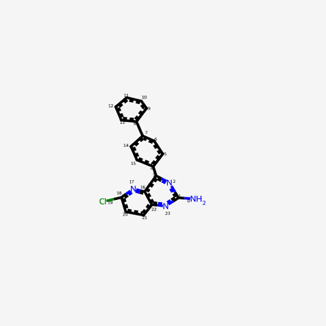 Nc1nc(-c2ccc(-c3ccccc3)cc2)c2nc(Cl)ccc2n1